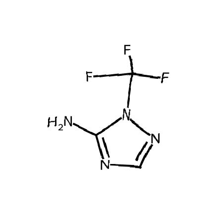 Nc1ncnn1C(F)(F)F